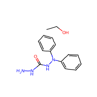 CCO.NNC(=O)NN(c1ccccc1)c1ccccc1